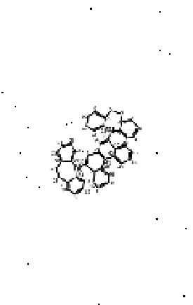 c1ccc2c(c1)CCc1ccccc1N2c1cc2cc(N3c4ccccc4CCc4ccccc43)c3ccccc3c2c2ccccc12